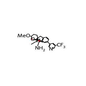 COC1CCC2(CC1)Cc1ccc(-c3cncc(C(F)(F)F)c3)cc1C21N=C(N)N(C)C1=O